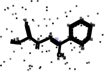 CNC(=S)N/N=C(\C)c1ccccn1